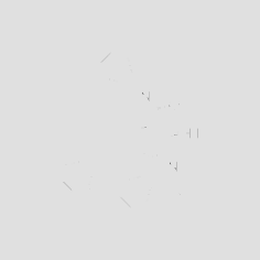 C[C@H](NC(=O)[C@H](O)[C@@H](O)C(=O)N1Cc2ccccc2C1)c1ccc(Cc2ccccc2)cc1